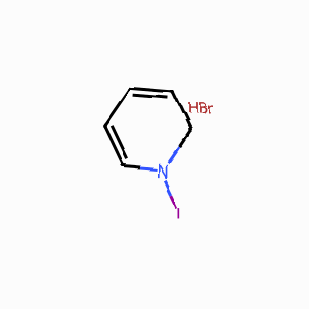 Br.IN1C=CC=CC1